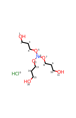 Cl.OCCCON(OCCCO)OCCCO